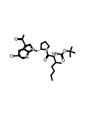 CCCCC(C)[C@H](NC(=O)OC(C)(C)C)C(=O)N1CCC[C@H]1Cn1cc(C(C)=O)c2cc(Cl)cnc21